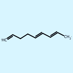 [CH]=CCCC=CC=C[CH2]